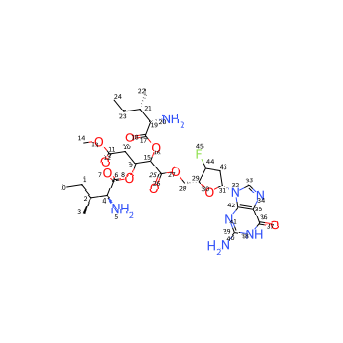 CC[C@H](C)[C@H](N)C(=O)OC(CC(=O)OC)C(OC(=O)[C@@H](N)[C@@H](C)CC)C(=O)OC[C@H]1O[C@@H](n2cnc3c(=O)[nH]c(N)nc32)CC1F